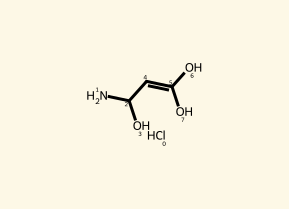 Cl.NC(O)C=C(O)O